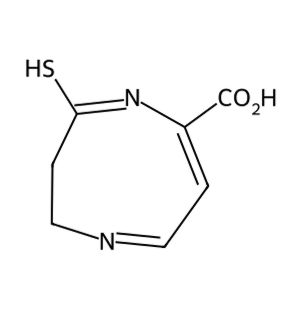 O=C(O)C1=C/C=N\CC/C(S)=N\1